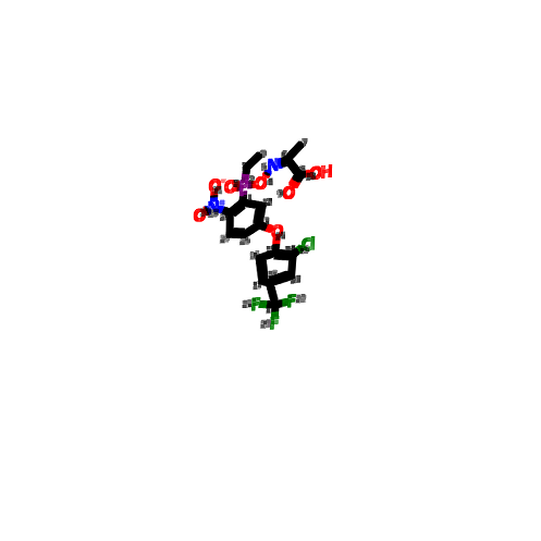 CCP(=O)(ON=C(C)C(=O)O)c1cc(Oc2ccc(C(F)(F)F)cc2Cl)ccc1[N+](=O)[O-]